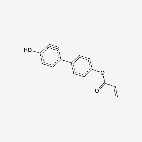 C=CC(=O)Oc1ccc(-c2c#cc(O)cc2)cc1